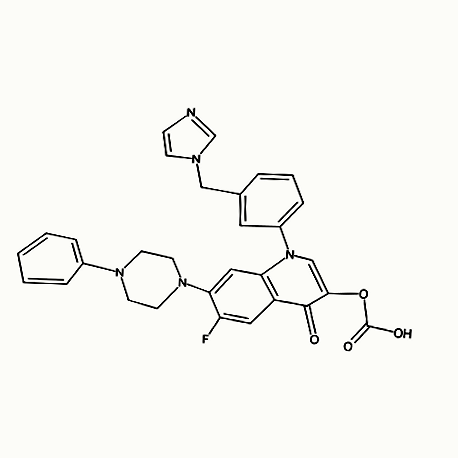 O=C(O)Oc1cn(-c2cccc(Cn3ccnc3)c2)c2cc(N3CCN(c4ccccc4)CC3)c(F)cc2c1=O